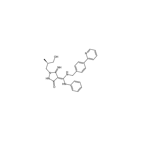 C[C@@H](CO)CN1NC(=O)/C(=C(/NCc2ccc(-c3ccccn3)cc2)Nc2ccccc2)C1=N